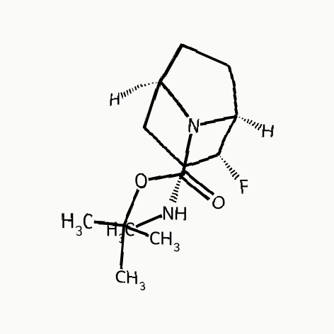 CN[C@@H]1C[C@H]2CC[C@@H]([C@@H]1F)N2C(=O)OC(C)(C)C